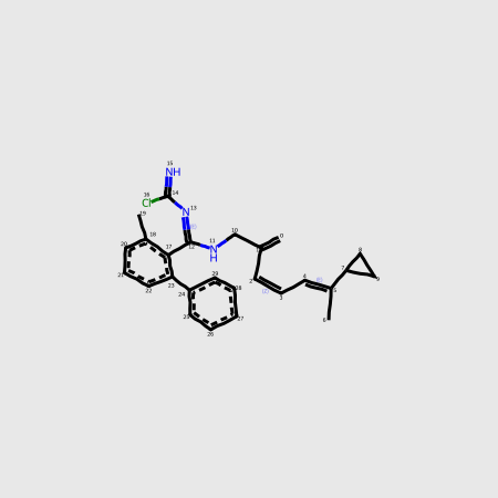 C=C(/C=C\C=C(/C)C1CC1)CN/C(=N/C(=N)Cl)c1c(C)cccc1-c1ccccc1